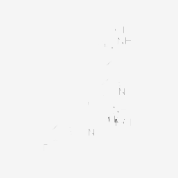 Cl.Cl.O=C(/C=C/c1cnc(NC2CCN(Cc3cccc(F)c3)CC2)c(Cl)c1)NO